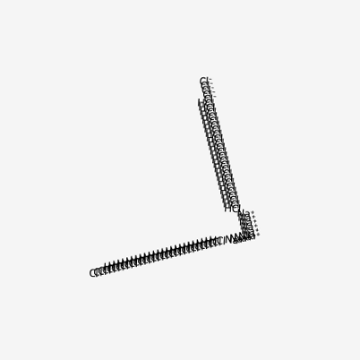 Cl.Cl.Cl.Cl.Cl.Cl.Cl.Cl.Cl.Cl.Cl.Cl.Cl.Cl.Cl.Cl.Cl.Cl.Cl.Cl.Cl.Cl.Cl.Cl.Cl.Cl.Cl.Cl.Cl.Cl.Cl.Cl.Cl.Cl.Cl.Cl.Cl.Cl.Cl.Cl.Cl.Cl.Cl.Cl.Cl.Cl.Cl.Cl.Cl.Cl.[Cl-].[Cl-].[Cl-].[Cl-].[Cl-].[Cl-].[Cl-].[Cl-].[Cl-].[Cl-].[Na+].[Na+].[Na+].[Na+].[Na+].[Na+].[Na+].[Na+].[Na+].[Na+]